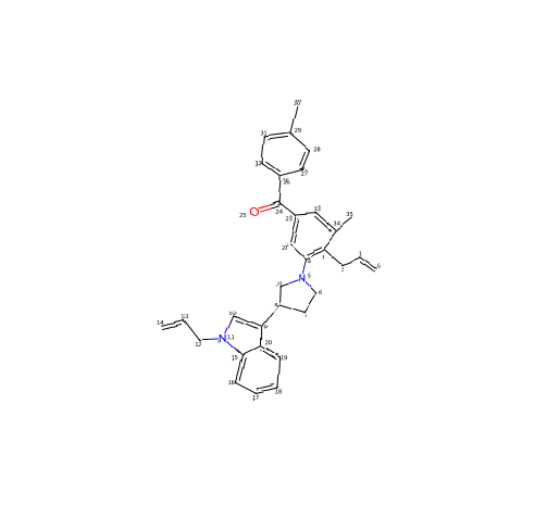 C=CCc1c(N2CCC(c3cn(CC=C)c4ccccc34)C2)[c]c(C(=O)c2ccc(C)cc2)cc1C